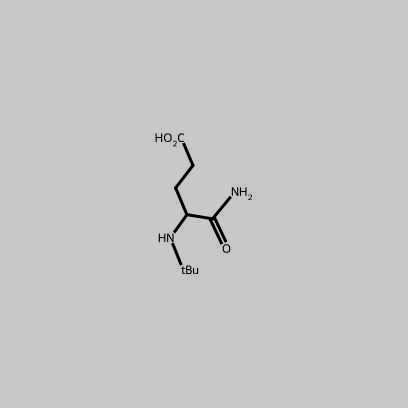 CC(C)(C)NC(CCC(=O)O)C(N)=O